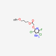 CCCOCCCCOC(=O)COc1nc(F)c(Cl)c(N)c1Cl